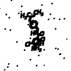 CCC(C)CN1CCC(CNC(=O)c2cc(Cl)c(N)[nH]c2=O)CC1